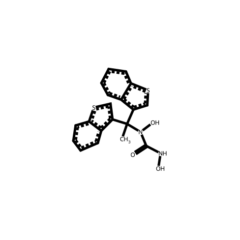 CC(c1csc2ccccc12)(c1csc2ccccc12)N(O)C(=O)NO